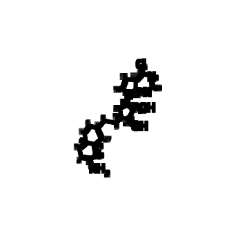 Nc1ccc2ccc(CC[C@H]3C[C@@H](n4ccc5c(Cl)ncnc54)[C@H](O)[C@@H]3O)cc2n1